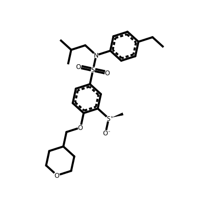 CCc1ccc(N(CC(C)C)S(=O)(=O)c2ccc(OCC3CCOCC3)c([S@@+](C)[O-])c2)cc1